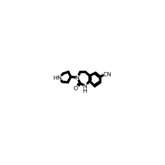 N#Cc1ccc2c(c1)CCN(C1CCNCC1)C(=O)N2